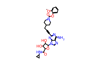 COc1ccccc1OC(=O)N1CCC(CC#Cc2nc(N)c3ncn(C4OC(C(=O)NC5CC5)C(O)C4O)c3n2)CC1